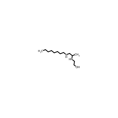 CCCCCCCCNCC(C)NCCO